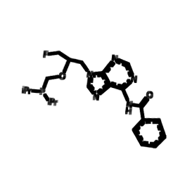 CC(C)P(COC(CF)Cn1cnc2c(NC(=O)c3ccccc3)ncnc21)C(C)C